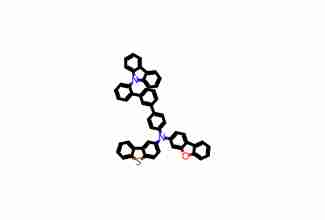 c1cc(-c2ccc(N(c3ccc4c(c3)oc3ccccc34)c3ccc4sc5ccccc5c4c3)cc2)cc(-c2ccccc2-n2c3ccccc3c3ccccc32)c1